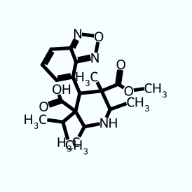 COC(=O)C1(C)C(C)NC(C)C(C(=O)O)(C(C)C)C1c1cccc2nonc12